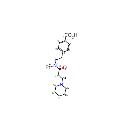 CCN(CCc1ccc(C(=O)O)cc1)C(=O)CCN1CCCCC1